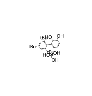 CC(C)(C)c1cc(C(C)(C)C)c(-c2cccc(O)c2O)c(C(C)(C)C)c1.OP(O)O